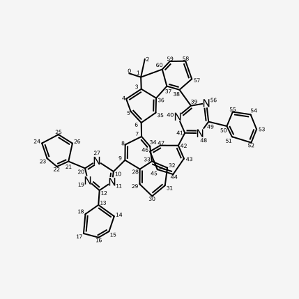 CC1(C)c2ccc(-c3cc(-c4nc(-c5ccccc5)nc(-c5ccccc5)n4)c4ccccc4c3)cc2-c2c(-c3nc(-c4ccccc4)nc(-c4ccccc4)n3)cccc21